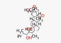 CC(C)[C@H](C)[C@@H](O)[C@H](O)[C@@H](C)[C@H]1CC[C@H]2[C@@H]3CC(=O)[C@H]4C5C(=O)C(=O)C(C5(C)C)[C@]4(C)[C@H]3CC[C@]12C